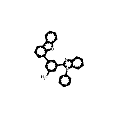 Cc1cc(-c2cccc3c2oc2ccccc23)cc(-c2nc3ccccc3n2-c2ccccc2)c1